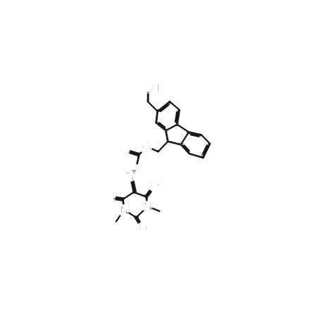 CN1C(=O)C(=NOC(=O)OCC2c3ccccc3-c3ccc(CS)cc32)C(=O)N(C)C1=O